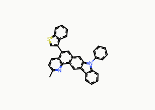 Cc1ccc2c(-c3csc4ccccc34)cc3cc4c(cc3c2n1)c1ccccc1n4-c1ccccc1